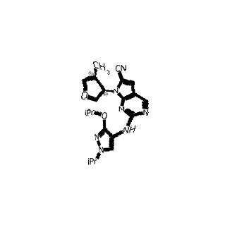 CC(C)Oc1nn(C(C)C)cc1Nc1ncc2cc(C#N)n([C@H]3COC[C@H]3C)c2n1